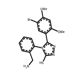 COc1cc(OC)c(-c2nnc(S)n2-c2ccccc2CN)cc1Br